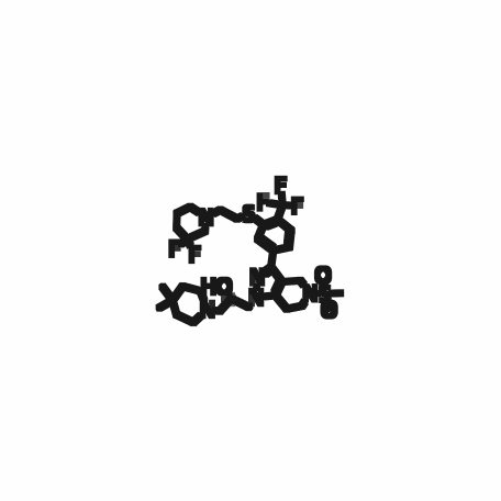 CC1(C)CCN(C[C@H](O)Cn2nc(-c3ccc(C(F)(F)F)c(SCCN4CCCC(F)(F)C4)c3)c3c2CCN(S(C)(=O)=O)C3)CC1